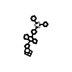 c1ccc(-c2nc(-c3ccccc3)nc(-c3ccc(-c4c5ccccc5c(-c5ccc6c(c5)C5CC7CC8CC6CC875)c5ccccc45)cc3)n2)cc1